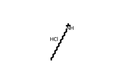 CCCCCCCCCCCCCCCCCCNC(C)(C)C.Cl